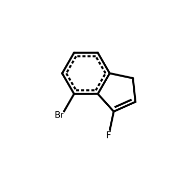 FC1=CCc2cccc(Br)c21